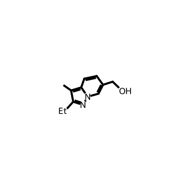 CCc1nn2cc(CO)ccc2c1C